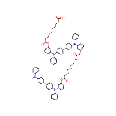 CN(c1ccccc1)c1ccc(-c2ccc(N(c3ccccc3)c3cccc(OC(=O)CCCCCCCCC(=O)Oc4cccc(N(c5ccccc5)c5ccc(-c6ccc(N(c7ccccc7)c7cccc(OC(=O)CCCCCCCCC(=O)O)c7)cc6)cc5)c4)c3)cc2)cc1